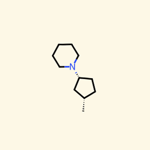 C[C@H]1CC[C@@H](N2CCCCC2)C1